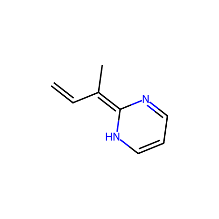 C=C/C(C)=C1/N=CC=CN1